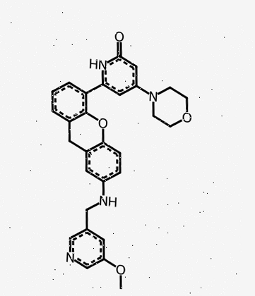 COc1cncc(CNc2ccc3c(c2)Cc2cccc(-c4cc(N5CCOCC5)cc(=O)[nH]4)c2O3)c1